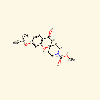 C[SiH](Oc1ccc2c(c1)OC1(CCN(C(=O)OC(C)(C)C)CC1)CC2=O)C(C)(C)C